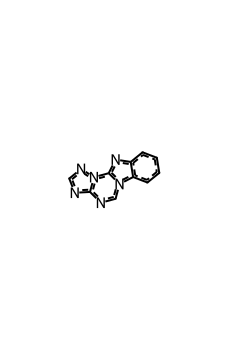 c1ccc2c(c1)nc1n2cnc2ncnn21